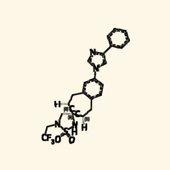 O=S1(=O)N[C@@]2(CN1CC(F)(F)F)[C@@H]1CC[C@H]2Cc2ccc(-n3cnc(-c4ccccc4)c3)cc2C1